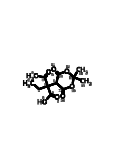 CCC(C(C)=O)(C(=O)O)C1C(=O)OC(C)(C)OC1=O